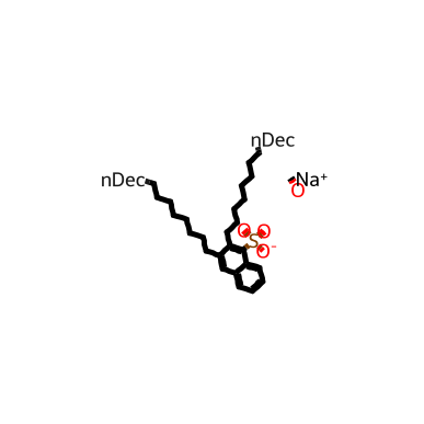 C=O.CCCCCCCCCCCCCCCCCCc1cc2ccccc2c(S(=O)(=O)[O-])c1CCCCCCCCCCCCCCCCCC.[Na+]